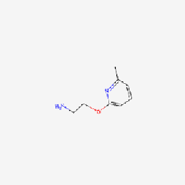 Cc1cccc(OCCN)n1